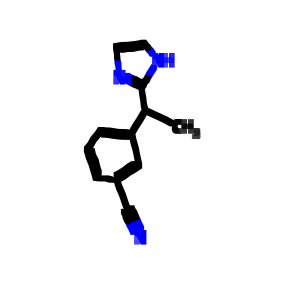 CC(c1cccc(C#N)c1)c1ncc[nH]1